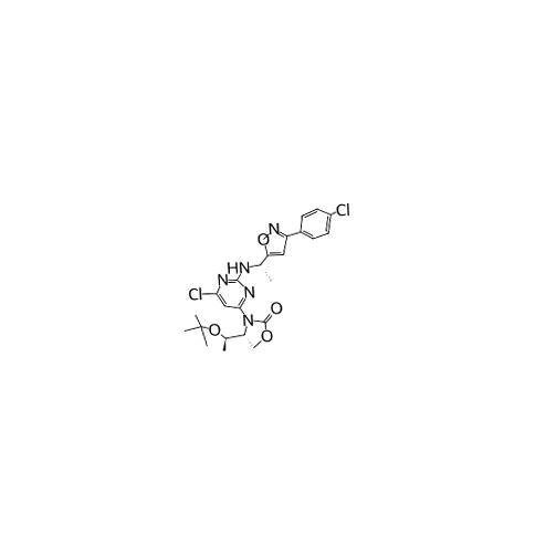 C[C@H](Nc1nc(Cl)cc(N2C(=O)OC[C@@H]2[C@@H](C)OC(C)(C)C)n1)c1cc(-c2ccc(Cl)cc2)no1